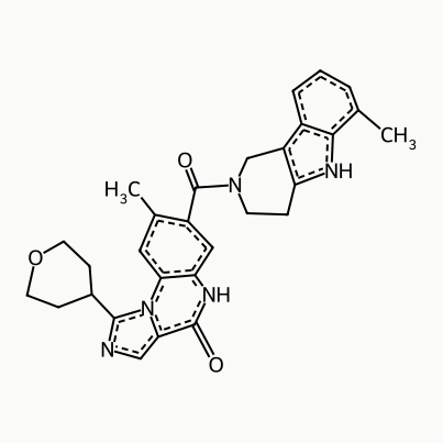 Cc1cc2c(cc1C(=O)N1CCc3[nH]c4c(C)cccc4c3C1)[nH]c(=O)c1cnc(C3CCOCC3)n12